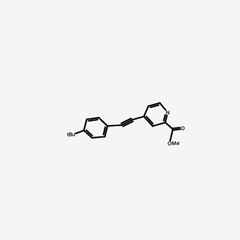 COC(=O)c1cc(C#Cc2ccc(C(C)(C)C)cc2)ccn1